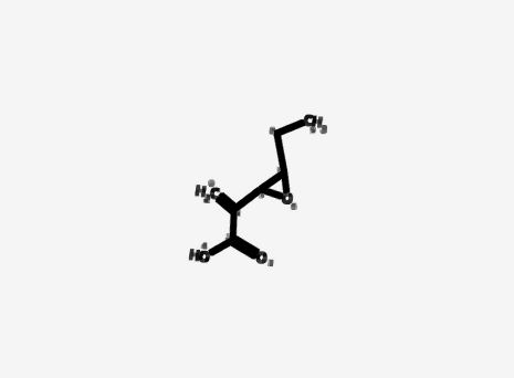 C=C(C(=O)O)C1OC1CC